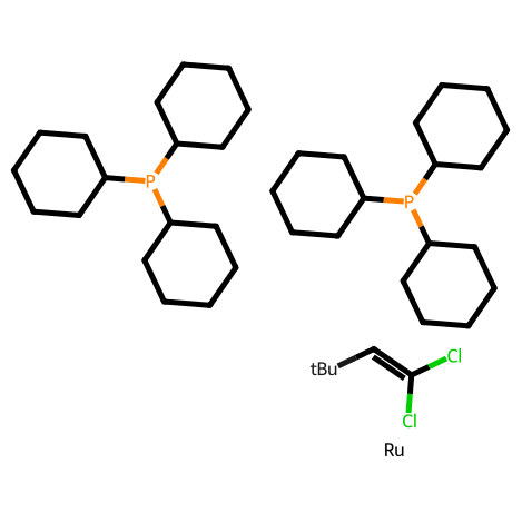 C1CCC(P(C2CCCCC2)C2CCCCC2)CC1.C1CCC(P(C2CCCCC2)C2CCCCC2)CC1.CC(C)(C)C=C(Cl)Cl.[Ru]